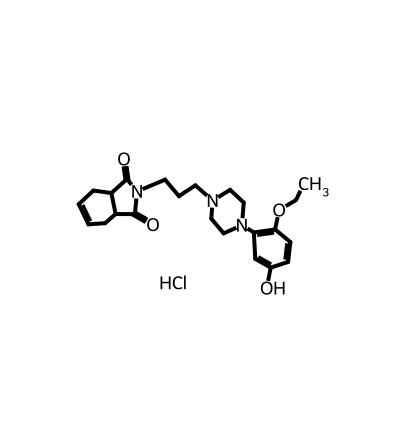 CCOc1ccc(O)cc1N1CCN(CCCN2C(=O)C3CC=CCC3C2=O)CC1.Cl